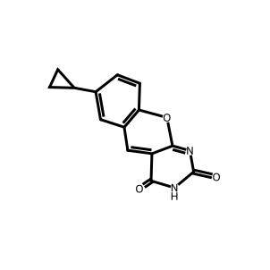 O=c1nc2oc3ccc(C4CC4)cc3cc-2c(=O)[nH]1